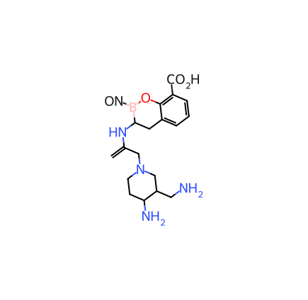 C=C(CN1CCC(N)C(CN)C1)NC1Cc2cccc(C(=O)O)c2OB1N=O